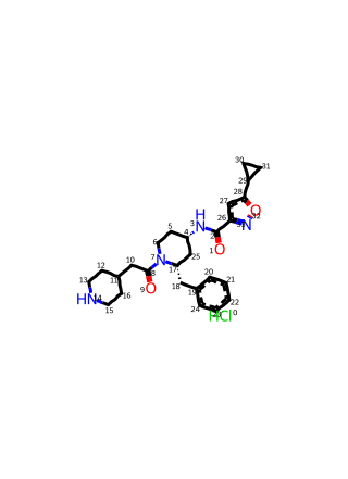 Cl.O=C(N[C@H]1CCN(C(=O)CC2CCNCC2)[C@@H](Cc2ccccc2)C1)c1cc(C2CC2)on1